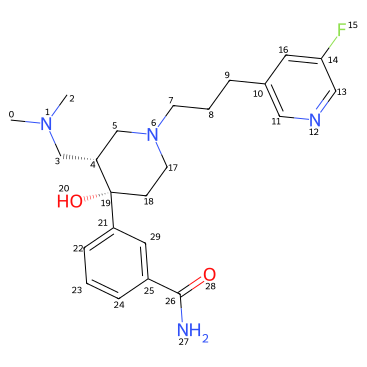 CN(C)C[C@@H]1CN(CCCc2cncc(F)c2)CC[C@@]1(O)c1cccc(C(N)=O)c1